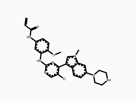 C=CC(=O)Nc1ccc(OC)c(Nc2ncc(Cl)c(-c3cn(C)c4cc(N5CCNCC5)ccc34)n2)c1